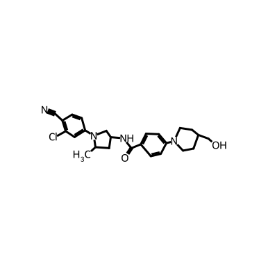 CC1CC(NC(=O)c2ccc(N3CCC(CO)CC3)cc2)CN1c1ccc(C#N)c(Cl)c1